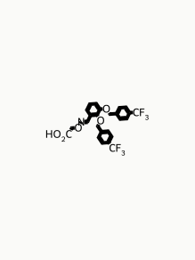 O=C(O)CON=Cc1cccc(OCc2ccc(C(F)(F)F)cc2)c1OCc1ccc(C(F)(F)F)cc1